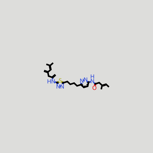 C=C(C=C(C)C)CC(=C)Nc1nnc(CCCCc2ccc(NC(=O)C/C(C)=C/C)nn2)s1